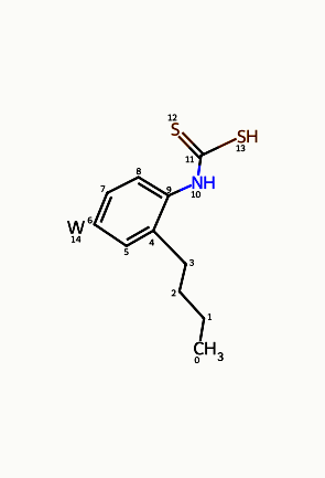 CCCCc1ccccc1NC(=S)S.[W]